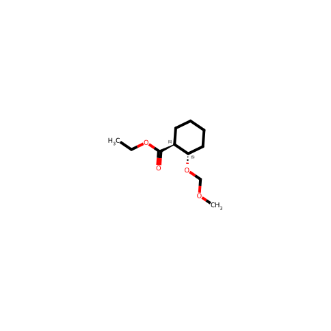 CCOC(=O)[C@H]1CCCC[C@@H]1OCOC